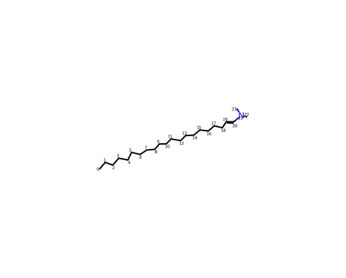 CCCCCCCCCCCCCCCCCCCC=CN(C)C